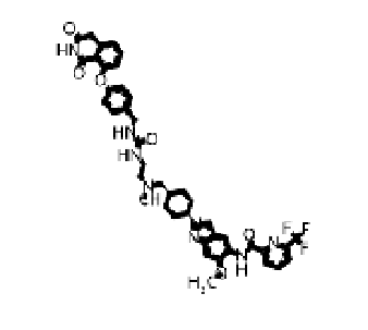 COc1cc2nn([C@H]3CC[C@H](CN(C)CCNC(=O)NCc4ccc(Oc5cccc6c5C(=O)NC(=O)C6)cc4)CC3)cc2cc1NC(=O)c1cccc(C(F)(F)F)n1